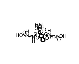 CC(=O)c1cc2c(OC(=O)NCCNCC(=O)O)c3ccccc3c(OC(=O)NCCNCC(=O)O)c2o1.Cl.Cl